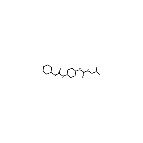 CC(C)COC(=O)OC1CCC(OC(=O)OC2CCCCC2)CC1